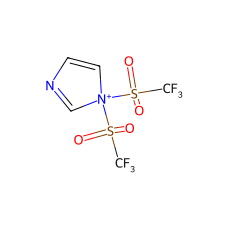 O=S(=O)(C(F)(F)F)[N+]1(S(=O)(=O)C(F)(F)F)C=CN=C1